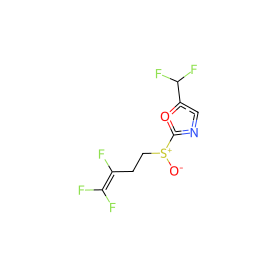 [O-][S+](CCC(F)=C(F)F)c1ncc(C(F)F)o1